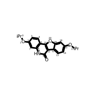 CC(C)Oc1ccc2c(c1)[nH]c(=O)c1c3ccc(OC(C)C)cc3oc21